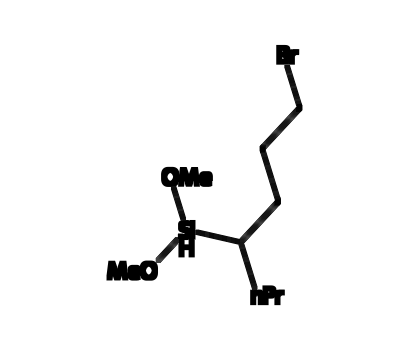 CCCC(CCCBr)[SiH](OC)OC